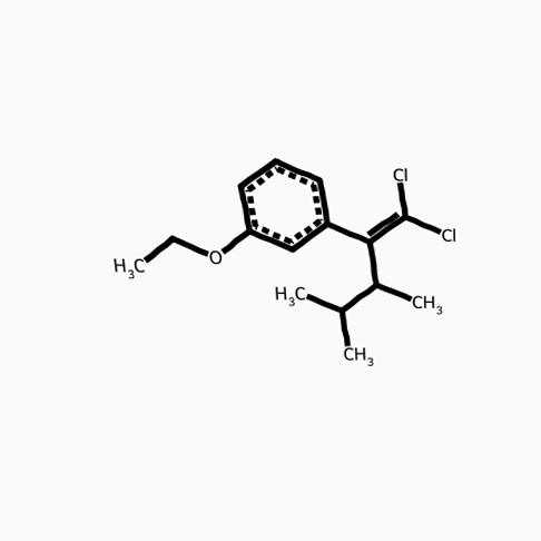 CCOc1cccc(C(=C(Cl)Cl)C(C)C(C)C)c1